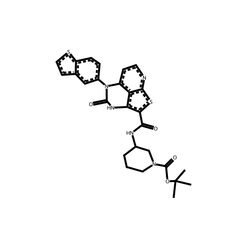 CC(C)(C)OC(=O)N1CCCC(NC(=O)c2sc3nccc4c3c2NC(=O)N4c2ccc3sccc3c2)C1